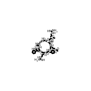 CC(=O)NCCC[C@@H]1NC(=O)[C@@H](NC(=O)[C@H](CCCNC(=N)N)NC(C)=O)CCC(=O)NCCCC(C(N)=O)NC(=O)[C@H](Cc2c[nH]c3ccccc23)NC(=O)[C@H](CCCNC(=N)N)NC(=O)[C@@H](Cc2ccccc2)NC1=O